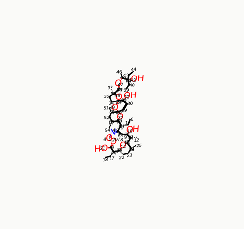 CC[C@@H](C(=NOC)[C@@H](C)[C@@H](O)[C@H](C)[C@@H]1O[C@@H]([C@@H](CC)C(=O)O)CC[C@@H]1C)[C@H]1O[C@]2(C=C[C@@H](O)[C@]3(CC[C@@](C)([C@H]4CC[C@](O)(CC)[C@H](C)O4)O3)O2)[C@H](C)C[C@@H]1C